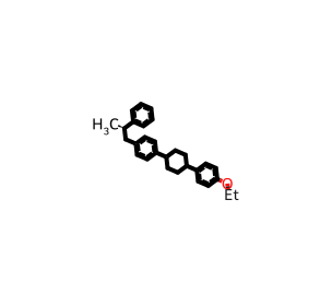 CCOc1ccc(C2CCC(c3ccc(C[C@H](C)c4ccccc4)cc3)CC2)cc1